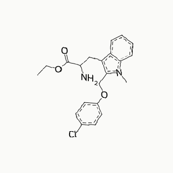 CCOC(=O)C(N)Cc1c(COc2ccc(Cl)cc2)n(C)c2ccccc12